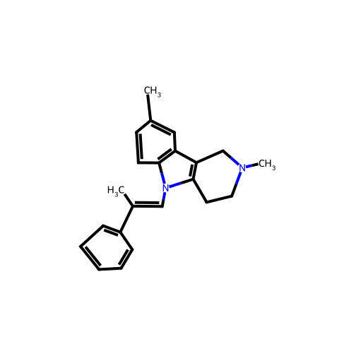 C/C(=C\n1c2c(c3cc(C)ccc31)CN(C)CC2)c1ccccc1